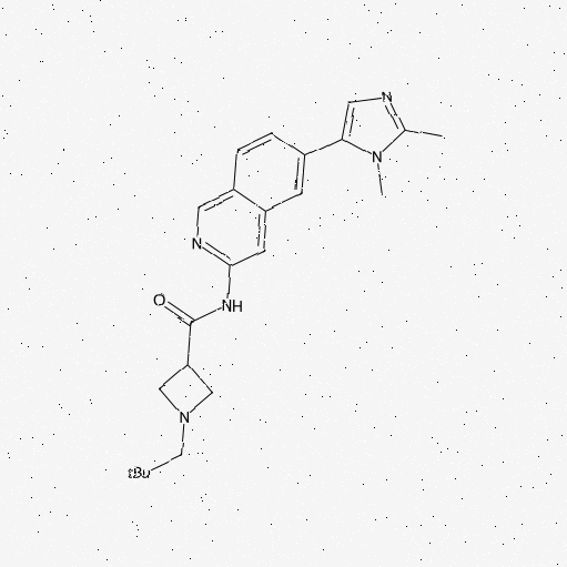 Cc1ncc(-c2ccc3cnc(NC(=O)C4CN(CC(C)(C)C)C4)cc3c2)n1C